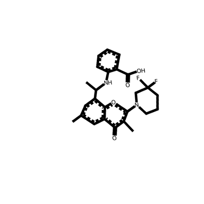 Cc1cc(C(C)Nc2ccccc2C(=O)O)c2oc(N3CCCC(F)(F)C3)c(C)c(=O)c2c1